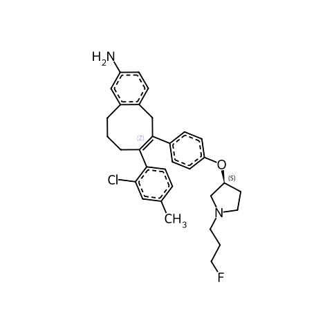 Cc1ccc(/C2=C(\c3ccc(O[C@H]4CCN(CCCF)C4)cc3)Cc3ccc(N)cc3CCC2)c(Cl)c1